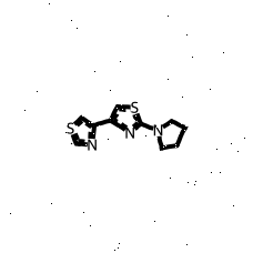 [c]1nc(-c2csc(N3CCCC3)n2)cs1